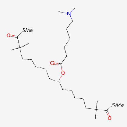 CSC(=O)C(C)(C)CCCCCC(CCCCCC(C)(C)C(=O)SC)OC(=O)CCCCCN(C)C